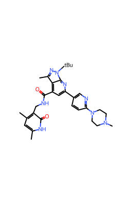 Cc1cc(C)c(CNC(=O)c2cc(-c3ccc(N4CCN(C)CC4)nc3)nc3c2c(C)nn3C(C)(C)C)c(=O)[nH]1